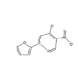 O=[N+]([O-])c1ccc(-c2cc[c]o2)cc1Cl